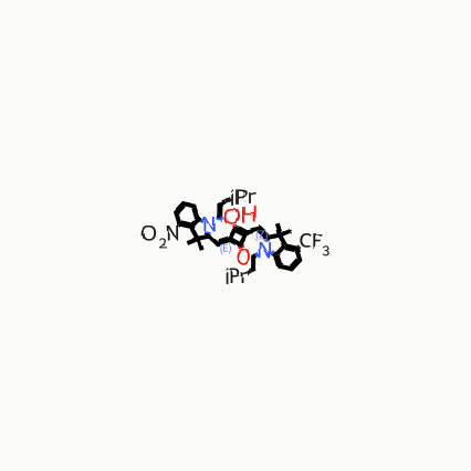 CC(C)CCN1/C(=C\C2=C(O)C(=C\C3=[N+](CCC(C)C)c4cccc([N+](=O)[O-])c4C3(C)C)/C2=O)C(C)(C)c2c1cccc2C(F)(F)F